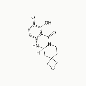 O=C1c2c(O)c(=O)ccn2N[C@@H]2CC3(CCN12)COC3